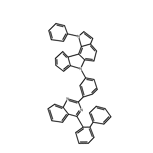 c1ccc(-c2ccccc2-c2nc(-c3cccc(-n4c5ccccc5c5c6c(ccc54)ccn6-c4ccccc4)c3)nc3ccccc23)cc1